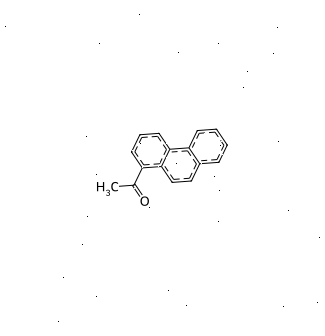 CC(=O)c1cccc2c1ccc1ccccc12